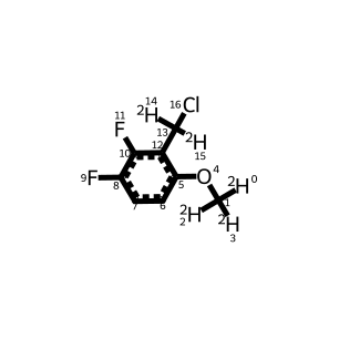 [2H]C([2H])([2H])Oc1ccc(F)c(F)c1C([2H])([2H])Cl